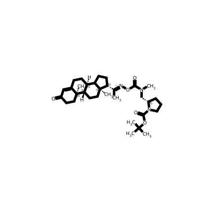 C/C(=N\OC(=O)N(C)C[C@@H]1CCCN1C(=O)OC(C)(C)C)[C@H]1CCC2[C@@H]3CCC4=CC(=O)CC[C@]4(C)[C@H]3CC[C@@]21C